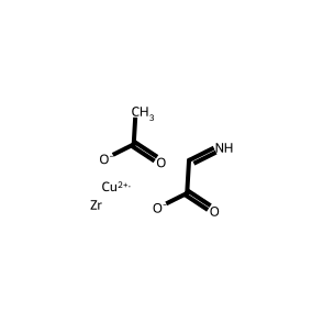 CC(=O)[O-].N=CC(=O)[O-].[Cu+2].[Zr]